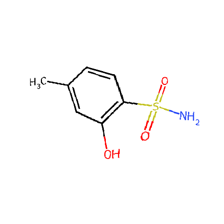 Cc1ccc(S(N)(=O)=O)c(O)c1